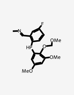 C/N=C/c1cc(F)ccc1Pc1cc(OC)cc(OC)c1OCOC